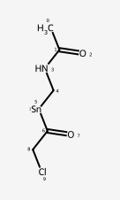 CC(=O)N[CH2][Sn][C](=O)CCl